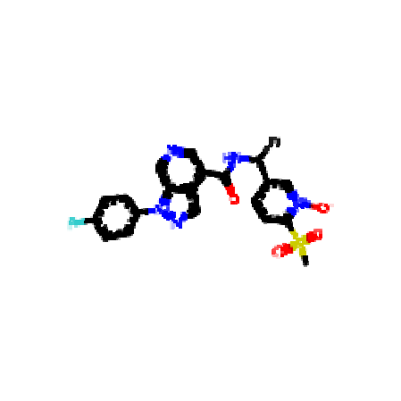 CCC(NC(=O)c1cncc2c1cnn2-c1ccc(F)cc1)c1ccc(S(C)(=O)=O)[n+]([O-])c1